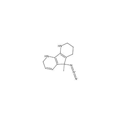 CC1(N=[N+]=[N-])C2=C(NCC=C2)C2=C1CCCN2